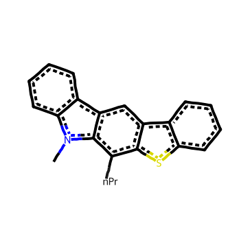 CCCc1c2sc3ccccc3c2cc2c3ccccc3n(C)c12